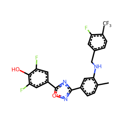 Cc1ccc(-c2noc(-c3cc(F)c(O)c(F)c3)n2)cc1NCc1ccc(C(F)(F)F)c(F)c1